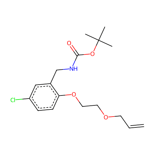 C=CCOCCOc1ccc(Cl)cc1CNC(=O)OC(C)(C)C